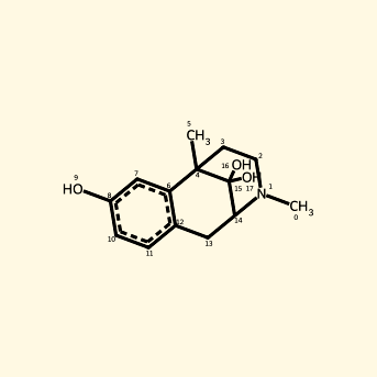 CN1CCC2(C)c3cc(O)ccc3CC1C2(O)O